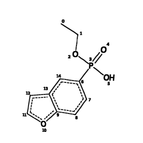 CCOP(=O)(O)c1ccc2occc2c1